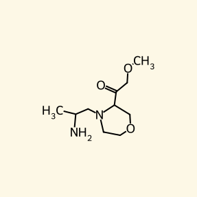 COCC(=O)C1COCCN1CC(C)N